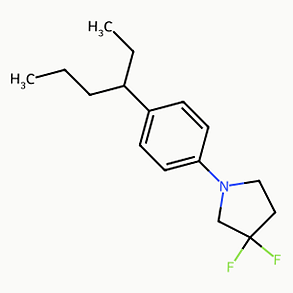 CCCC(CC)c1ccc(N2CCC(F)(F)C2)cc1